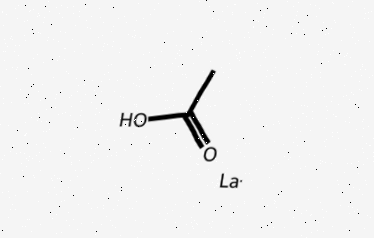 CC(=O)O.[La]